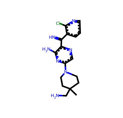 CC1(CN)CCN(c2cnc(C(=N)c3cccnc3Cl)c(N)n2)CC1